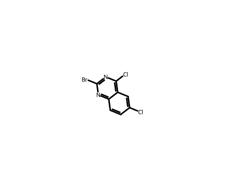 Clc1ccc2nc(Br)nc(Cl)c2c1